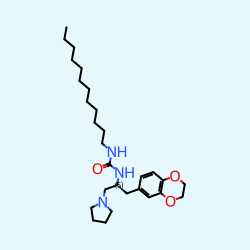 CCCCCCCCCCCCNC(=O)N[C@@H](Cc1ccc2c(c1)OCCO2)CN1CCCC1